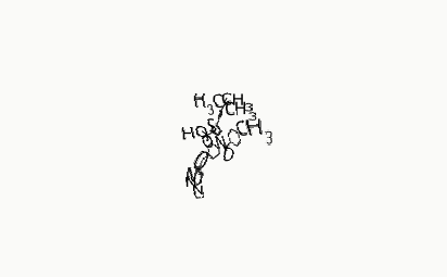 CC1CCC(C(=O)N(c2cc(C#CC(C)(C)C)sc2C(=O)O)C2CCC(Oc3ccc(N4CCCC4)nn3)CC2)CC1